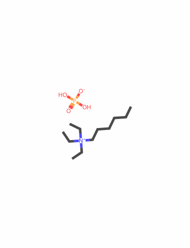 CCCCCC[N+](CC)(CC)CC.O=P([O-])(O)O